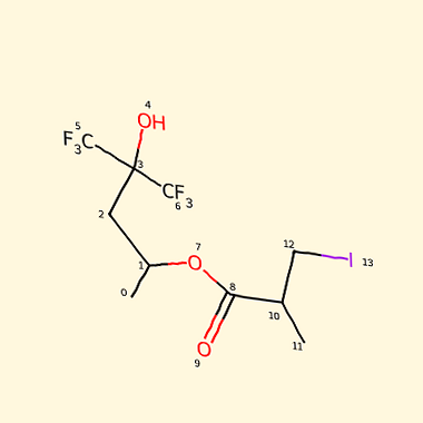 CC(CC(O)(C(F)(F)F)C(F)(F)F)OC(=O)C(C)CI